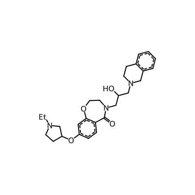 CCN1CCC(Oc2ccc3c(c2)OCCN(CC(O)CN2CCc4ccccc4C2)C3=O)C1